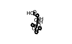 O=C(O)Cc1cccc(NC(=O)NCC(=O)N(CC(=O)N2CCCCC2c2ccccc2)c2ccccc2)c1